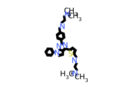 CN(C)CCCN=Cc1ccc(-c2nc(-c3ccc(C=NCCCN(C)C)s3)c3ccn(-c4ccccc4)c3n2)cc1